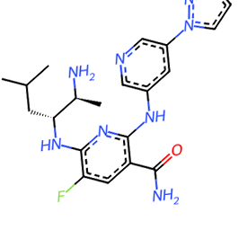 CC(C)C[C@@H](Nc1nc(Nc2cncc(-n3cccn3)c2)c(C(N)=O)cc1F)[C@H](C)N